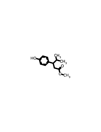 COC(=O)CC(c1ccc(O)cc1)C(C)C